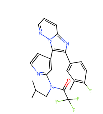 Cc1cc(-c2nc3cccnn3c2-c2ccnc(N(CC(C)C)C(=O)C(F)(F)F)c2)ccc1F